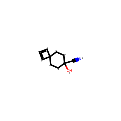 N#CC1(O)CCC2(C=C=C2)CC1